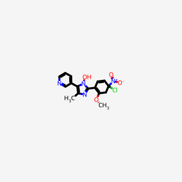 COC1=C(c2nc(C)c(-c3cccnc3)n2O)C=CC(Cl)([N+](=O)[O-])C1